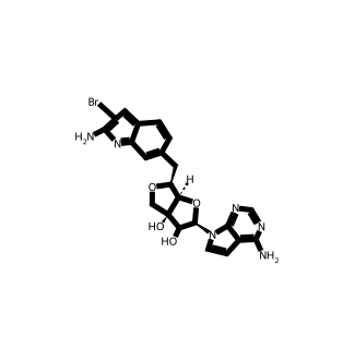 Nc1nc2cc(C[C@@H]3OC[C@]4(O)C(O)[C@H](n5ccc6c(N)ncnc65)O[C@H]34)ccc2cc1Br